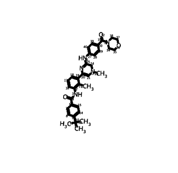 Cc1c(NC(=O)c2ccc(C(C)(C)C)cc2)cccc1C1=CN(C)CC(Nc2ccc(C(=O)N3CCOCC3)cc2)=N1